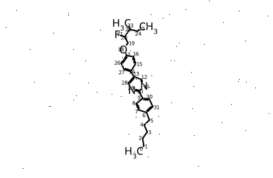 CCCCCCc1ccc(-c2ncc(-c3ccc(OCC(F)C(C)CC)cc3)cn2)cc1